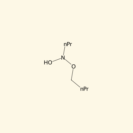 CCCCON(O)CCC